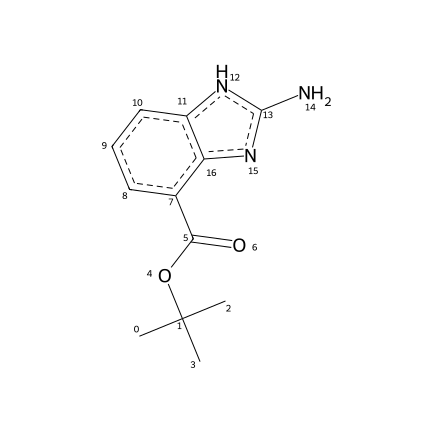 CC(C)(C)OC(=O)c1cccc2[nH]c(N)nc12